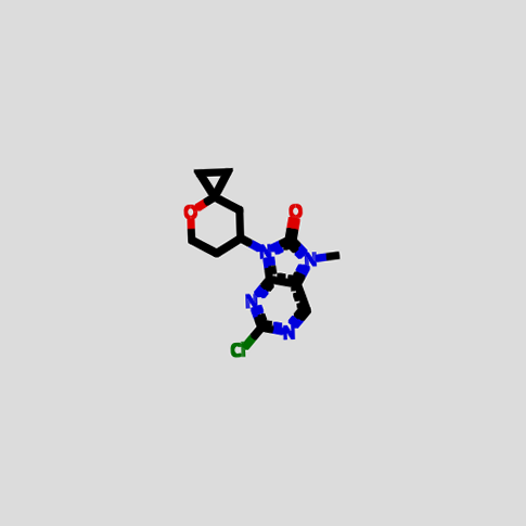 Cn1c(=O)n(C2CCOC3(CC3)C2)c2nc(Cl)ncc21